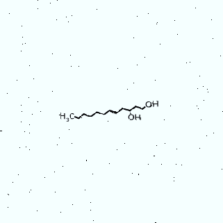 CCCCCC/C=C/C[C@@H](O)CCO